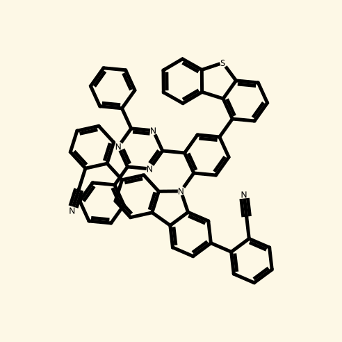 N#Cc1ccccc1-c1ccc2c3ccc(-c4ccccc4C#N)cc3n(-c3ccc(-c4cccc5sc6ccccc6c45)cc3-c3nc(-c4ccccc4)nc(-c4ccccc4)n3)c2c1